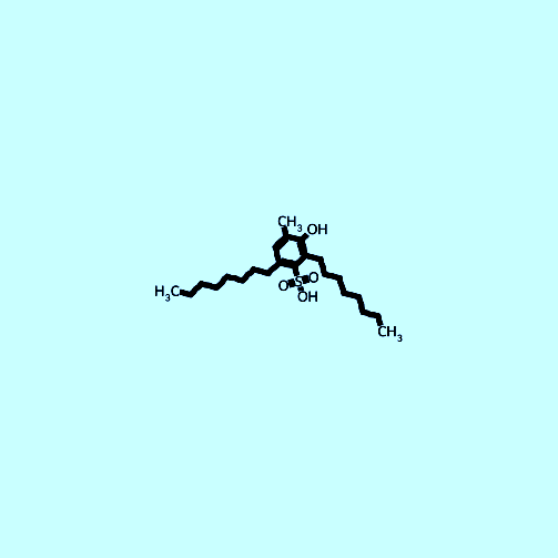 CCCCCCCCc1cc(C)c(O)c(CCCCCCCC)c1S(=O)(=O)O